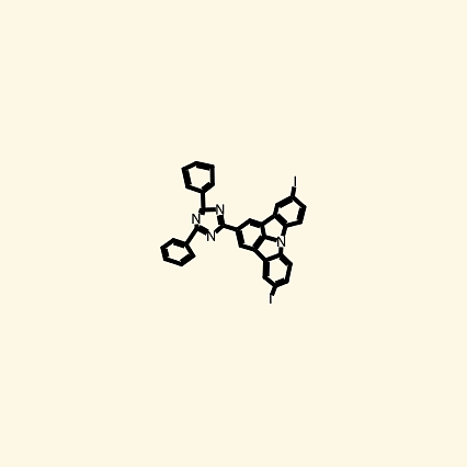 Ic1ccc2c(c1)c1cc(-c3nc(-c4ccccc4)nc(-c4ccccc4)n3)cc3c4cc(I)ccc4n2c13